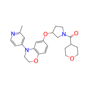 Cc1cc(N2CCOc3ccc(OC4CCN(C(=O)C5CCOCC5)C4)cc32)ccn1